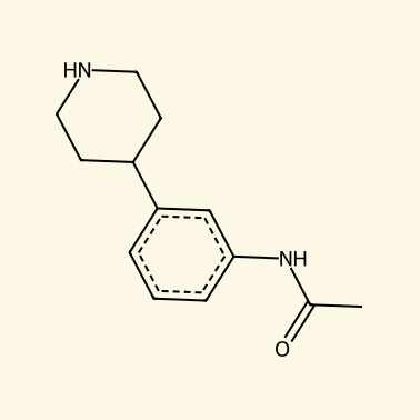 CC(=O)Nc1cccc(C2CCNCC2)c1